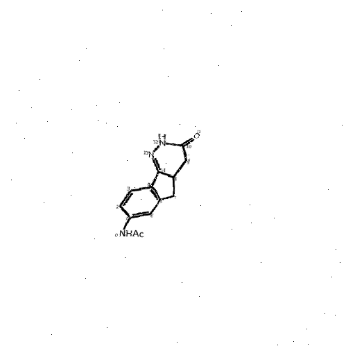 CC(=O)Nc1ccc2c(c1)CC1CC(=O)NN=C21